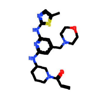 C=CC(=O)N1CCCC(Nc2cc(CN3CCOCC3)cc(Nc3ncc(C)s3)n2)C1